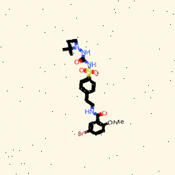 COc1ccc(Br)cc1C(=O)NCCc1ccc(S(=O)(=O)NC(=O)NN2CCC2(C)C)cc1